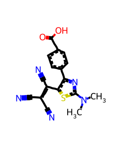 CN(C)c1nc(-c2ccc(C(=O)O)cc2)c(C(C#N)=C(C#N)C#N)s1